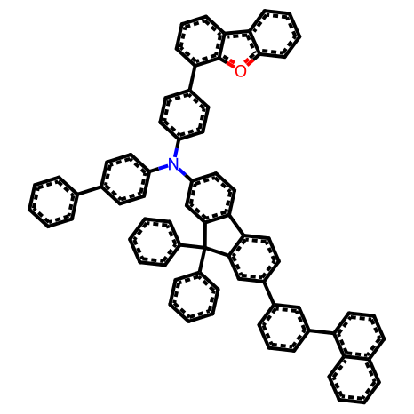 c1ccc(-c2ccc(N(c3ccc(-c4cccc5c4oc4ccccc45)cc3)c3ccc4c(c3)C(c3ccccc3)(c3ccccc3)c3cc(-c5cccc(-c6cccc7ccccc67)c5)ccc3-4)cc2)cc1